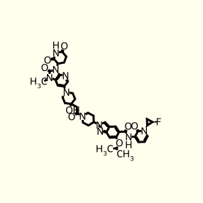 CC(C)Oc1cc2nn(C3CCN(C(=O)CC4(O)CCN(c5cnc6c(c5)n(C)c(=O)n6C5CCC(=O)NC5=O)CC4)CC3)cc2cc1C(=O)Nc1cccn([C@H]2C[C@H]2F)c1=O